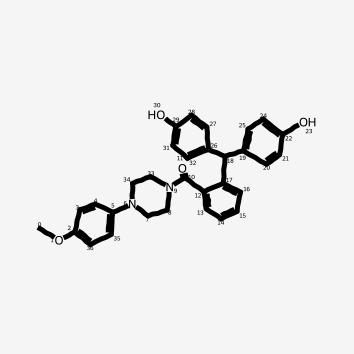 COc1ccc(N2CCN(C(=O)c3ccccc3C(c3ccc(O)cc3)c3ccc(O)cc3)CC2)cc1